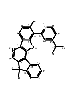 Cc1ccc2c(oc3c4c(cnc32)C(C)(C)c2ccccc2-4)c1-c1cc(C(C)C)ccn1